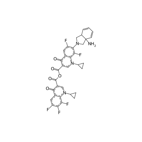 NC12C=CC=CC1CN(c1c(F)cc3c(=O)c(C(=O)OC(=O)c4cn(C5CC5)c5c(F)c(F)c(F)cc5c4=O)cn(C4CC4)c3c1F)C2